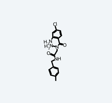 Cc1ccc(CNC(=O)CN(N)C(=O)c2ccc(Cl)cc2N)cc1